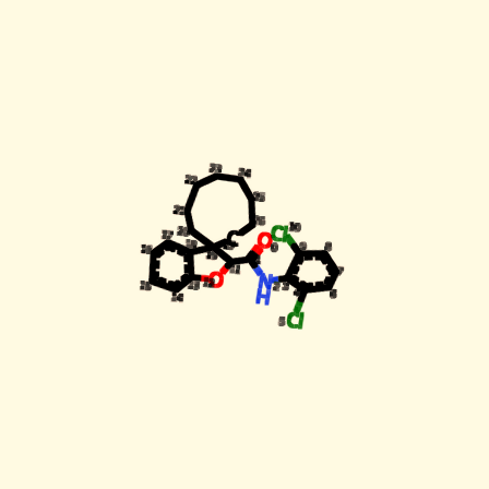 O=C(Nc1c(Cl)cccc1Cl)C1Oc2ccccc2C12CCCCCCCC2